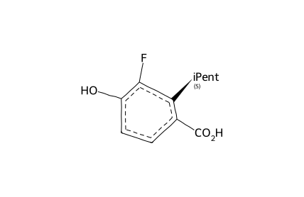 CCC[C@H](C)c1c(C(=O)O)ccc(O)c1F